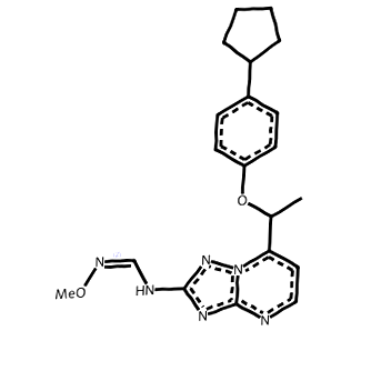 CO/N=C\Nc1nc2nccc(C(C)Oc3ccc(C4CCCC4)cc3)n2n1